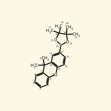 CC1(C)c2ccccc2Oc2ccc(B3OC(C)(C)C(C)(C)O3)cc21